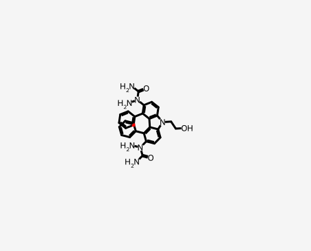 NC(=O)N(N)c1ccc2c(c1-c1ccccc1)c1c(-c3ccccc3)c(N(N)C(N)=O)ccc1n2CCO